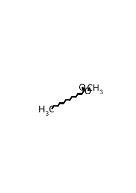 CCCC=CCCCCC=CC(=O)OC